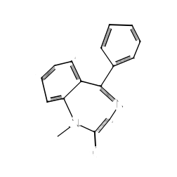 CN1C(Cl)=CN=C(c2ccccc2)c2ccccc21